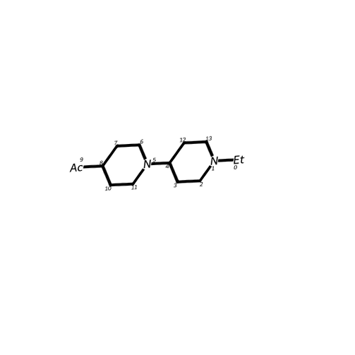 CCN1CCC(N2CCC(C(C)=O)CC2)CC1